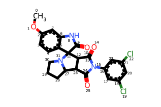 COc1ccc2c(c1)NC(=O)C21C2C(=O)N(c3cc(Cl)cc(Cl)c3)C(=O)C2C2CCCN21